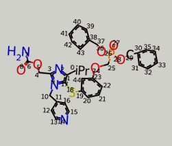 CC(C)c1nc(COC(N)=O)n(Cc2ccncc2)c1Sc1cccc(OCP(=O)(OCc2ccccc2)OCc2ccccc2)c1